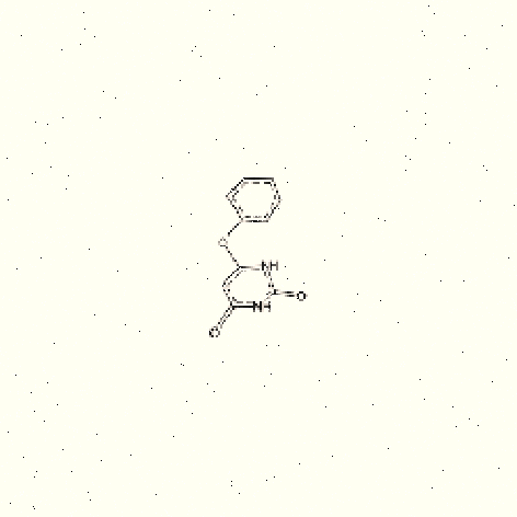 O=c1cc(Oc2ccccc2)[nH]c(=O)[nH]1